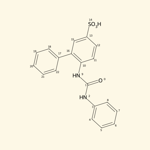 O=C(Nc1ccccc1)Nc1ccc(S(=O)(=O)O)cc1-c1ccccc1